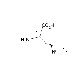 CC(C)[C@H](N)C(=O)O.[N]